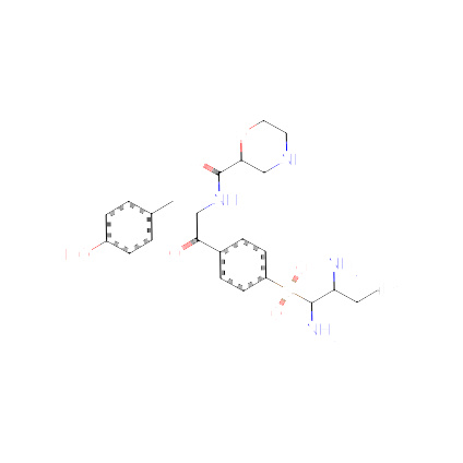 CC(C)CC(N)C(N)S(=O)(=O)c1ccc(C(=O)[C@H](Cc2ccc(O)cc2)NC(=O)C2CNCCO2)cc1